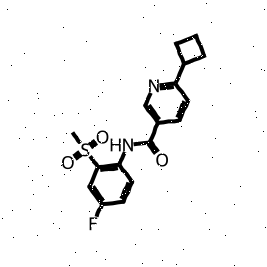 CS(=O)(=O)c1cc(F)ccc1NC(=O)c1ccc(C2CCC2)nc1